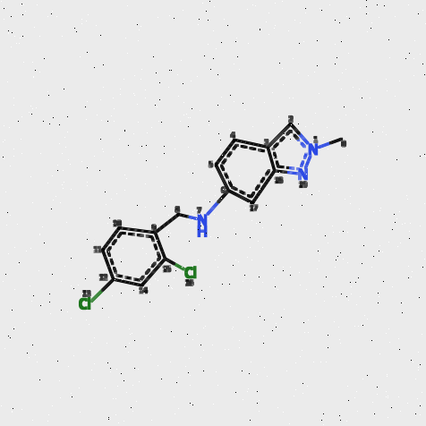 Cn1cc2ccc(NCc3ccc(Cl)cc3Cl)cc2n1